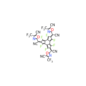 N#CC(=C1C(F)=c2c3c(c4c(c2=C1F)=C(F)C(=C(C#N)c1nc(C(F)(F)F)c(C#N)o1)C=4F)=C(F)C(=C(C#N)c1nc(C(F)(F)F)c(C#N)o1)C=3F)c1nc(C(F)(F)F)c(C#N)o1